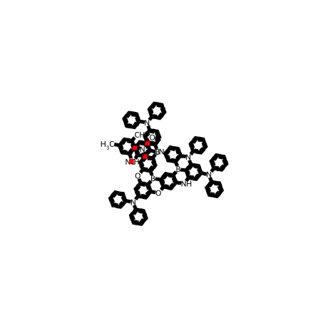 [C-]#[N+]c1ccc2c(c1)B1c3cc4c(cc3Nc3cc(N(c5ccccc5)c5ccccc5)cc(c31)N2c1ccccc1)Oc1cc(N(c2ccccc2)c2ccccc2)cc2c1B4c1cc3c(cc1O2)N(c1c(C)cc(C)cc1C)c1cc(N(c2ccccc2)c2ccccc2)cc2c1B3c1cc(C#N)ccc1O2